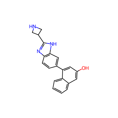 Oc1cc(-c2ccc3nc(C4CNC4)[nH]c3c2)c2ccccc2c1